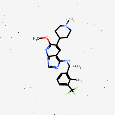 COc1nc2ncnc(N[C@H](C)c3cccc(C(F)(F)F)c3C)c2cc1C1CCN(C)CC1